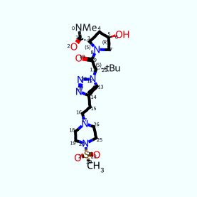 CNC(=O)[C@@H]1C[C@@H](O)CN1C(=O)[C@@H](n1cc(CCN2CCN(S(C)(=O)=O)CC2)nn1)C(C)(C)C